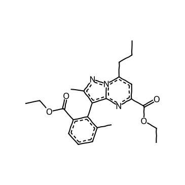 CCCc1cc(C(=O)OCC)nc2c(-c3c(C)cccc3C(=O)OCC)c(C)nn12